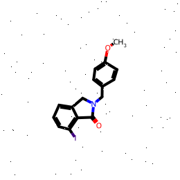 COc1ccc(CN2Cc3cccc(I)c3C2=O)cc1